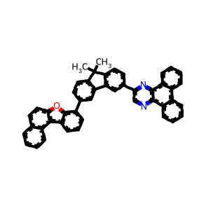 CC1(C)c2ccc(-c3cnc4c5ccccc5c5ccccc5c4n3)cc2-c2cc(-c3cccc4c3oc3ccc5ccccc5c34)ccc21